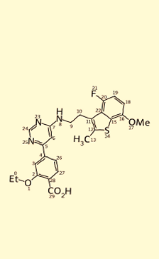 CCOc1cc(-c2cc(NCCc3c(C)sc4c(OC)ccc(F)c34)ncn2)ccc1C(=O)O